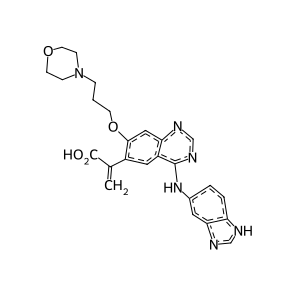 C=C(C(=O)O)c1cc2c(Nc3ccc4[nH]cnc4c3)ncnc2cc1OCCCN1CCOCC1